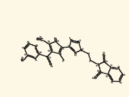 Cc1c(-c2nnn(CCN3C(=O)c4ccccc4C3=O)n2)[nH]c(C=O)c1C(=O)c1cccc(Br)c1